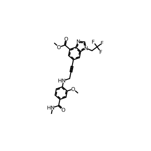 CNC(=O)c1ccc(NCC#Cc2cc(C(=O)OC)c3ncn(CC(F)(F)F)c3c2)c(OC)c1